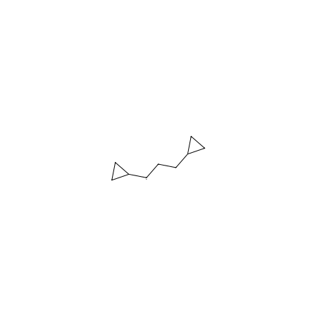 [CH](CCC1CC1)C1CC1